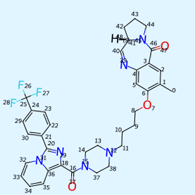 Cc1cc2c(cc1OCCCCN1CCN(C(=O)c3nc(-c4ccc(C(F)(F)F)cc4)n4ccccc34)CC1)N=C[C@@H]1CCCN1C2=O